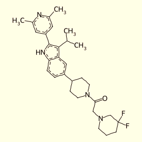 Cc1cc(-c2[nH]c3ccc(C4CCN(C(=O)CN5CCCC(F)(F)C5)CC4)cc3c2C(C)C)cc(C)n1